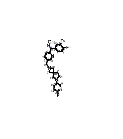 O/N=C(\c1ccc(F)c(F)c1)c1ccc(CN2CC3(CCN(c4ccc(F)nc4)C3)C2)cn1